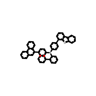 c1ccc(-c2ccccc2N(c2ccc(-c3cc4ccccc4c4ccccc34)cc2)c2ccc(-c3cccc4c3oc3ccccc34)cc2)cc1